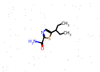 CCC(CC)c1cnc(C(N)=O)s1